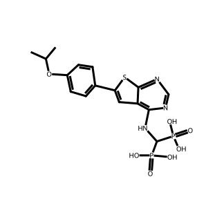 CC(C)Oc1ccc(-c2cc3c(NC(P(=O)(O)O)P(=O)(O)O)ncnc3s2)cc1